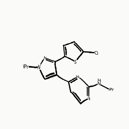 CC(C)Nc1nccc(-c2cn(C(C)C)nc2-c2ccc(Cl)s2)n1